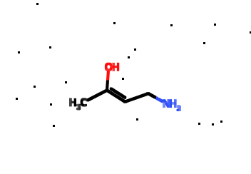 CC(O)=CCN